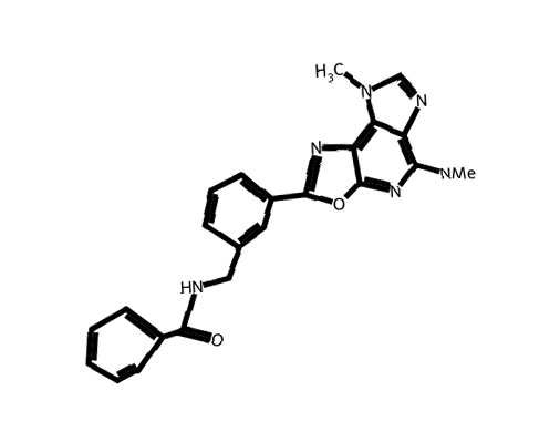 CNc1nc2oc(-c3cccc(CNC(=O)c4ccccc4)c3)nc2c2c1ncn2C